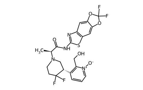 C[C@@H](C(=O)Nc1nc2cc3c(cc2s1)OC(F)(F)O3)N1CCC(F)(F)[C@@H](c2ccc[n+]([O-])c2CO)C1